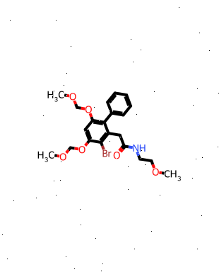 COCCNC(=O)Cc1c(Br)c(OCOC)cc(OCOC)c1-c1ccccc1